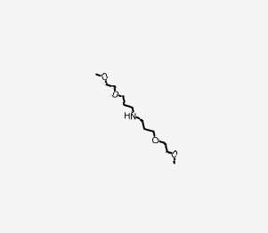 COCCOCCCNCCCOCCOC